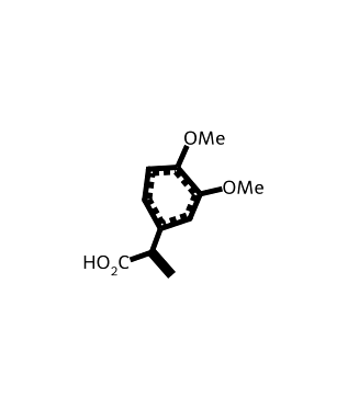 C=C(C(=O)O)c1ccc(OC)c(OC)c1